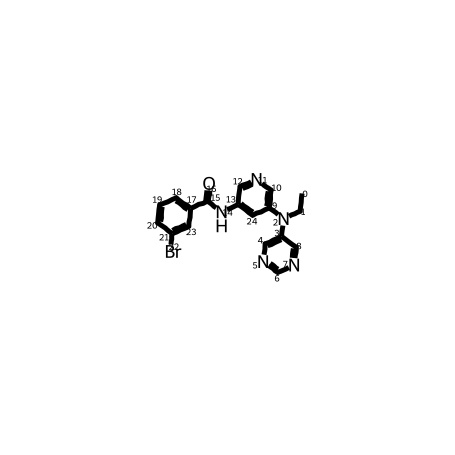 CCN(c1cncnc1)c1cncc(NC(=O)c2cccc(Br)c2)c1